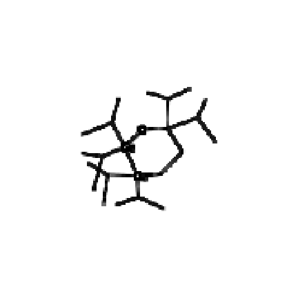 CC(C)C1(C(C)C)C[CH2][Ge]([CH](C)C)([CH](C)C)[Ge]([CH](C)C)([CH](C)C)[O]1